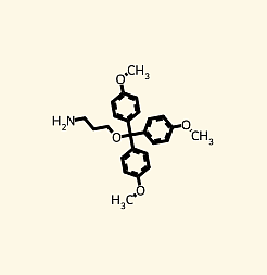 COc1ccc(C(OCCCN)(c2ccc(OC)cc2)c2ccc(OC)cc2)cc1